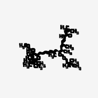 C=C[C@@H](OCOC)[C@@H](CC/C=C/C=C(\C)C[C@@H](OCOCC[Si](C)(C)C)[C@H](C)/C=C(C)/C=C/NC(=O)C=C(C)C)O[Si](C)(C)C(C)(C)C